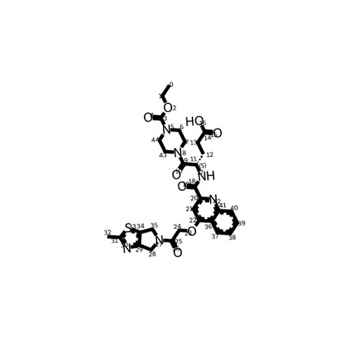 CCOC(=O)N1CCN(C(=O)[C@H](CCC(=O)O)NC(=O)c2cc(OCC(=O)N3Cc4nc(C)sc4C3)c3ccccc3n2)CC1